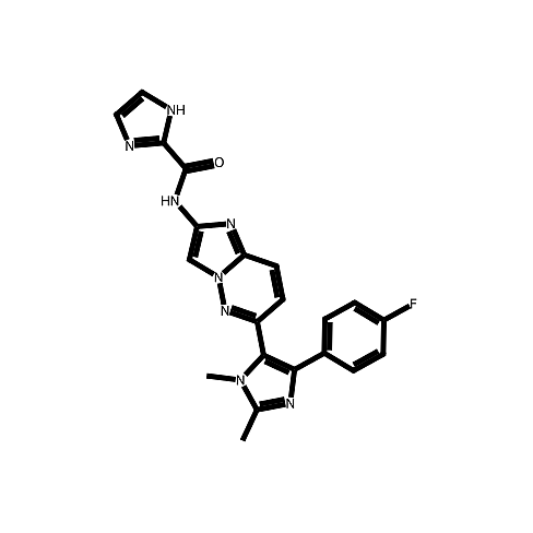 Cc1nc(-c2ccc(F)cc2)c(-c2ccc3nc(NC(=O)c4ncc[nH]4)cn3n2)n1C